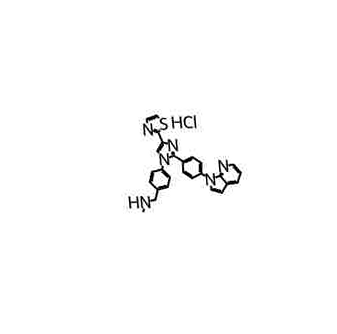 CNCc1ccc(-n2cc(-c3nccs3)nc2-c2ccc(-n3ccc4cccnc43)cc2)cc1.Cl